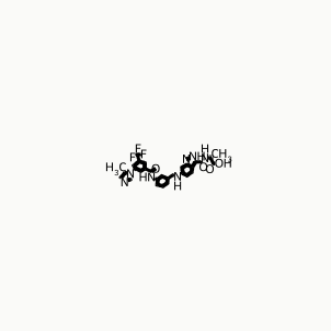 Cc1cncn1-c1cc(C(=O)Nc2cccc(CNc3ccc4c(C(=O)N[C@@H](C)C(=O)O)[nH]nc4c3)c2)cc(C(F)(F)F)c1